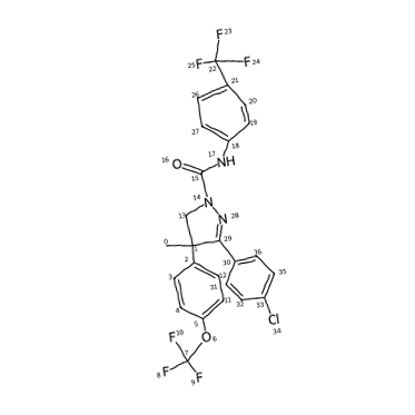 CC1(c2ccc(OC(F)(F)F)cc2)CN(C(=O)Nc2ccc(C(F)(F)F)cc2)N=C1c1ccc(Cl)cc1